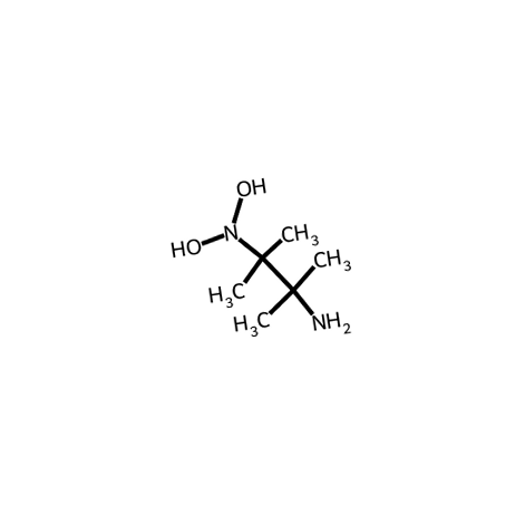 CC(C)(N)C(C)(C)N(O)O